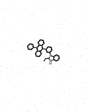 CCC1Nc2ccccc2N1c1cccc(-c2c3ccccc3c(-c3ccccc3)c3ccccc23)c1